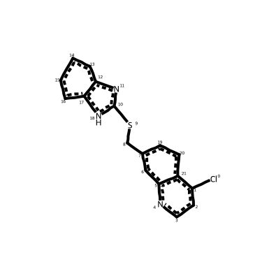 Clc1ccnc2cc(CSc3nc4ccccc4[nH]3)ccc12